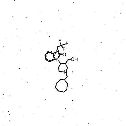 O=c1n(CC(F)(F)F)c2ccccc2n1C1CCN(CC2CCCCCCC2)CC1CO